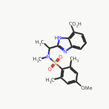 COc1cc(C)c(S(=O)(=O)N(C)C(C)c2nc3cccc(C(=O)O)c3[nH]2)c(C)c1